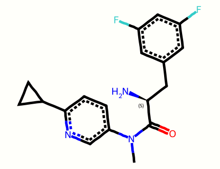 CN(C(=O)[C@@H](N)Cc1cc(F)cc(F)c1)c1ccc(C2CC2)nc1